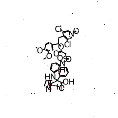 COc1ccc(C(Cc2c(Cl)c[n+]([O-])cc2Cl)OC(=O)CS(=O)(=O)Nc2cccc(NC(C(=O)O)(c3ccccc3)[C@H]3CN4CCC3CC4)c2)cc1OC